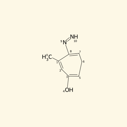 CC1=CC(O)=CCC=C1N=N